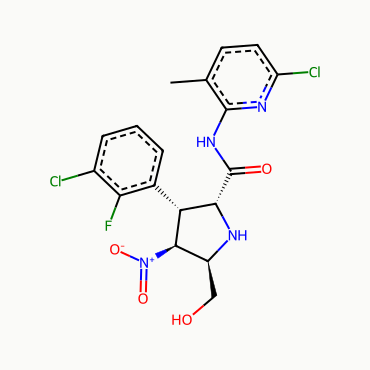 Cc1ccc(Cl)nc1NC(=O)[C@@H]1N[C@@H](CO)[C@@H]([N+](=O)[O-])[C@@H]1c1cccc(Cl)c1F